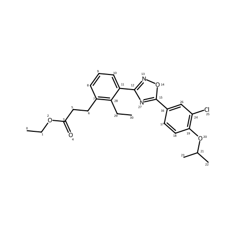 CCOC(=O)CCc1cccc(-c2noc(-c3ccc(OC(C)C)c(Cl)c3)n2)c1CC